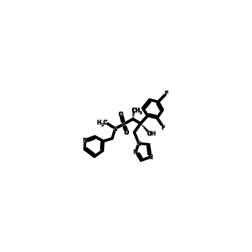 C[C@H]([C@](O)(Cn1cncn1)c1ccc(F)cc1F)S(=O)(=O)N(C)Cc1cccnc1